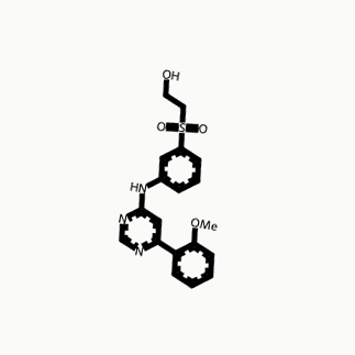 COc1ccccc1-c1cc(Nc2cccc(S(=O)(=O)CCO)c2)ncn1